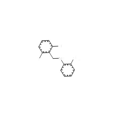 [CH2]c1ccccc1NCc1c(Cl)cccc1Cl